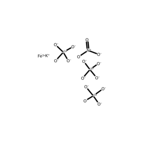 O=[N+]([O-])[O-].[Fe+3].[K+].[O-][I+3]([O-])([O-])[O-].[O-][I+3]([O-])([O-])[O-].[O-][I+3]([O-])([O-])[O-]